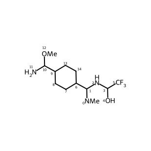 CNC(NC(O)C(F)(F)F)C1CCC(C(N)OC)CC1